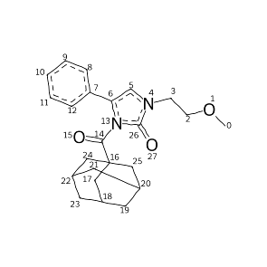 COCCn1cc(-c2ccccc2)n(C(=O)C23CC4CC(CC(C4)C2)C3)c1=O